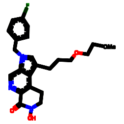 COCCOCCCc1cn(Cc2ccc(F)cc2)c2cnc3c(c12)CCN(O)C3=O